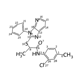 Cc1ccc(NC(=O)C(C)Sc2nc3cccnc3n2-c2ccccc2)c(Cl)c1